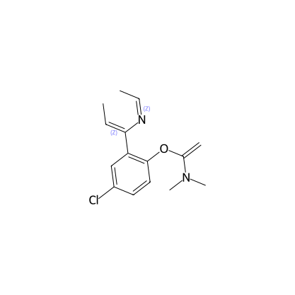 C=C(Oc1ccc(Cl)cc1C(=C/C)/N=C\C)N(C)C